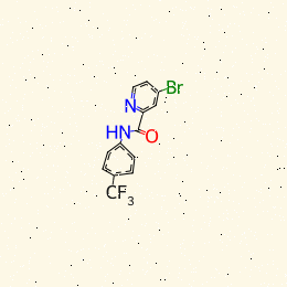 O=C(Nc1ccc(C(F)(F)F)cc1)c1cc(Br)ccn1